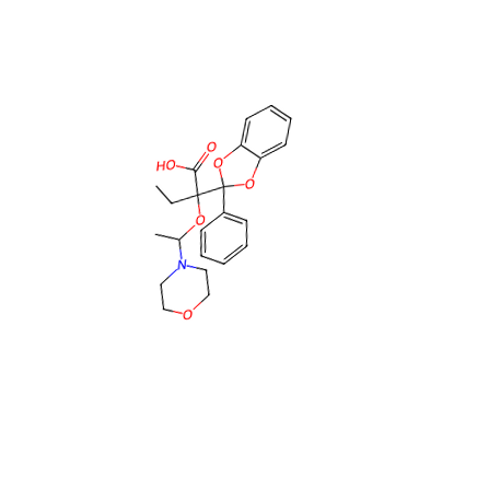 CCC(OC(C)N1CCOCC1)(C(=O)O)C1(c2ccccc2)Oc2ccccc2O1